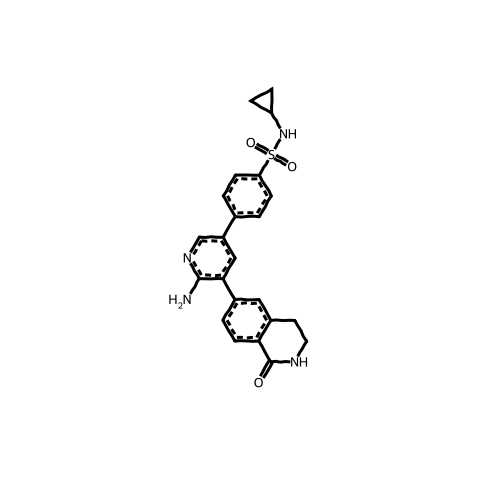 Nc1ncc(-c2ccc(S(=O)(=O)NC3CC3)cc2)cc1-c1ccc2c(c1)CCNC2=O